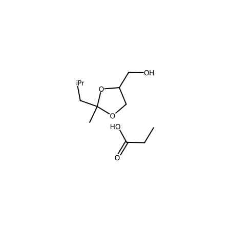 CC(C)CC1(C)OCC(CO)O1.CCC(=O)O